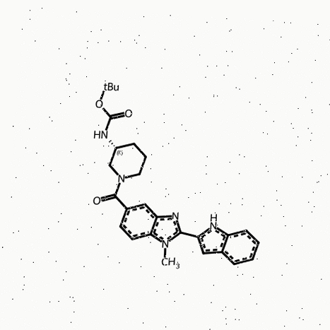 Cn1c(-c2cc3ccccc3[nH]2)nc2cc(C(=O)N3CCC[C@@H](NC(=O)OC(C)(C)C)C3)ccc21